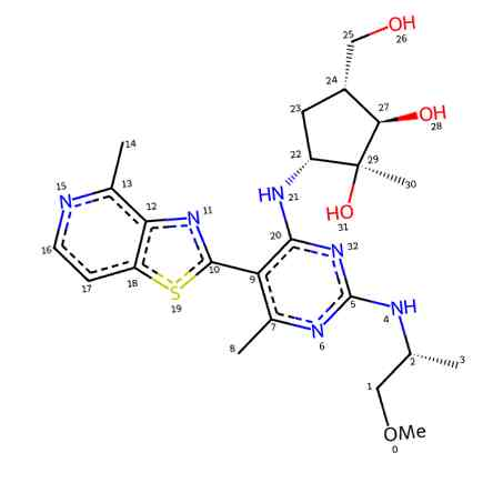 COC[C@@H](C)Nc1nc(C)c(-c2nc3c(C)nccc3s2)c(N[C@@H]2C[C@H](CO)[C@@H](O)[C@@]2(C)O)n1